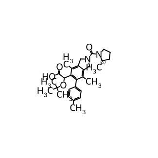 Cc1ccc(-c2c(C)c3c(c(C)c2C(OC(C)(C)C)C(=O)O)CN(C(=O)N2CCC[C@@H]2C)C3)cc1